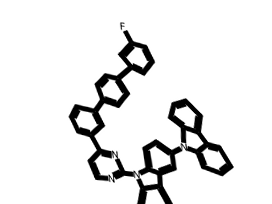 Fc1cccc(-c2ccc(-c3cccc(-c4ccnc(-n5c6ccccc6c6cc(-n7c8ccccc8c8ccccc87)ccc65)n4)c3)cc2)c1